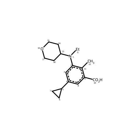 CCN(c1cc(C2CC2)cc(C(=O)O)c1C)C1CCOCC1